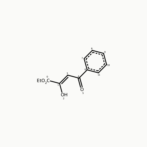 CCOC(=O)/C(O)=C/C(=O)c1ccccc1